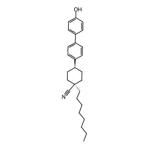 CCCCCCCC[C@]1(C#N)CC[C@@H](c2ccc(-c3ccc(O)cc3)cc2)CC1